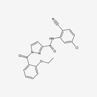 CCOc1ccccc1C(=O)n1ccc(C(=O)Nc2cc(Cl)ccc2C#N)n1